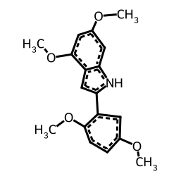 COc1ccc(OC)c(-c2cc3c(OC)cc(OC)cc3[nH]2)c1